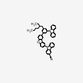 CCCCC(CC)Cc1cc(-c2ccc3oc4ccc(-n5c6ccccc6c6cc(C#N)ccc65)cc4c3c2)cc(-n2c3ccccc3c3ccccc32)c1